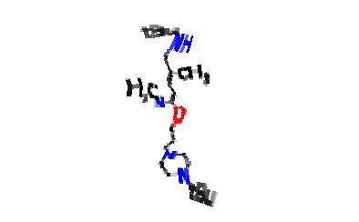 C=N/C(=C\C=C(/C)CNC(C)(C)C)OCCCN1CCN(C(C)(C)C)CC1